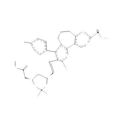 CNC(=O)c1ncc2c(n1)CCCc1c-2nc(C(C)C)c(/C=C/[C@@H]2C[C@H](CC(=O)OC(C)(C)C)OC(C)(C)O2)c1-c1ccc(F)cc1